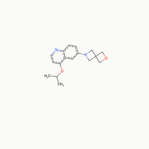 CC(C)Oc1ccnc2ccc(N3CC4(COC4)C3)cc12